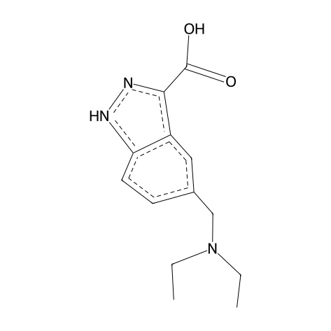 CCN(CC)Cc1ccc2[nH]nc(C(=O)O)c2c1